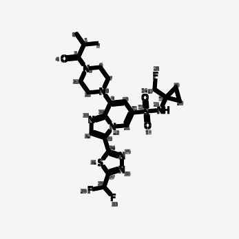 CC(C)C(=O)N1CCN(c2cc(S(=O)(=O)NC3(CF)CC3)cn3c(-c4nnc(C(F)F)s4)cnc23)CC1